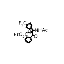 CCOC(=O)n1c(C(=O)c2ccccc2)c(NC(C)=O)c2ccc(C(F)(F)F)cc21